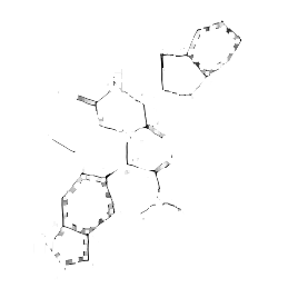 CC(C)C[C@@H]1C(=O)N[C@H](C2Cc3ccccc3C2)C(=O)N1[C@@H](C(=O)N(C)C)c1ccc2[nH]ncc2c1